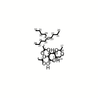 CC(=O)O[C@@H]1[C@@H](OC(C)=O)[C@@H](O)O[C@@H]2COC(C)O[C@@H]12.CCC[CH2][Sn]([CH2]CCC)[CH2]CCC